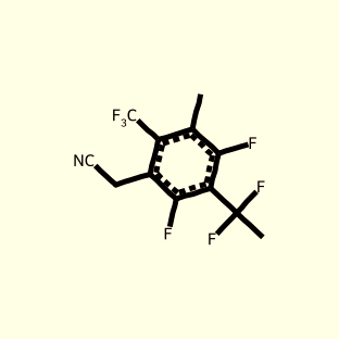 Cc1c(F)c(C(C)(F)F)c(F)c(CC#N)c1C(F)(F)F